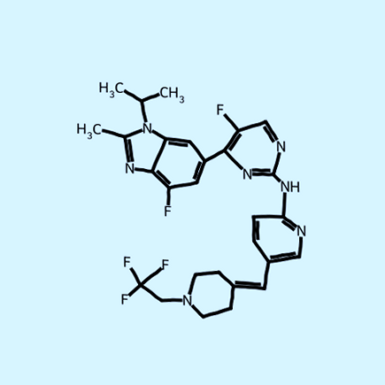 Cc1nc2c(F)cc(-c3nc(Nc4ccc(C=C5CCN(CC(F)(F)F)CC5)cn4)ncc3F)cc2n1C(C)C